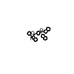 O=P(c1ccc(-c2oc3ccccc3c3nc4ccccc4c2-3)cc1)(c1ccc2ccccc2c1)c1ccc2ccccc2c1